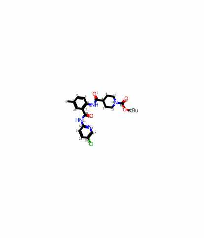 Cc1ccc(NC(=O)C2CCN(C(=O)OC(C)(C)C)CC2)c(C(=O)Nc2ccc(Cl)cn2)c1